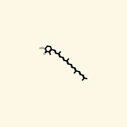 CC(C)=C/C=C/C(C)=C/C=C/C=C(C)/C=C/C=C(C)/C=C/C1=C(C)C(=O)[C@H](O)CC1